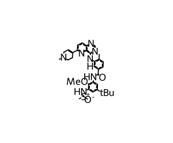 COc1c(NC(=O)c2ccc(C)c(Nc3ncnc4ccc(C5=CCN(C)CC5)nc34)c2)cc(C(C)(C)C)cc1N[S+](C)[O-]